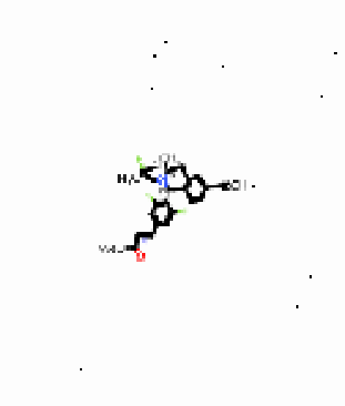 C#Cc1ccc2c(c1)C[C@H](C)N(CC(C)(C)F)[C@H]2c1c(F)cc(/C=C/C(=O)OC)cc1F